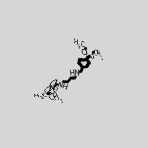 CCOC(OCC)c1ccc(CNCCCCNC(=O)OC(C)(C)C)cc1